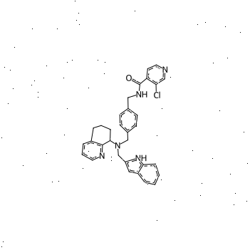 O=C(NCc1ccc(CN(Cc2cc3ccccc3[nH]2)C2CCCc3cccnc32)cc1)c1ccncc1Cl